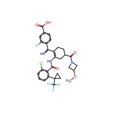 COC1CN(C(=O)C2CCC(C(=N)c3ccc(C(=O)O)cc3F)=C(NC(=O)c3c(Cl)cccc3C3(C(F)(F)F)CC3)C2)C1